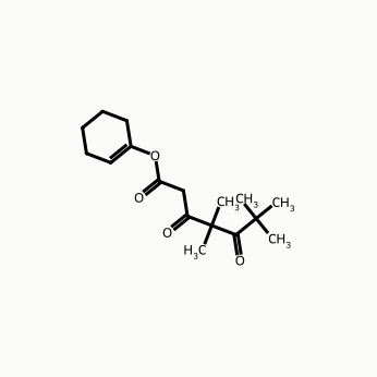 CC(C)(C)C(=O)C(C)(C)C(=O)CC(=O)OC1=CCCCC1